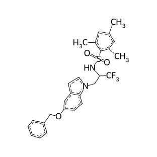 Cc1cc(C)c(S(=O)(=O)NC(Cn2ccc3cc(OCc4ccccc4)ccc32)C(F)(F)F)c(C)c1